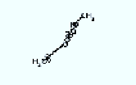 C=CC(=O)OCCCCCCCCCCOc1ccc(C(=O)Oc2ccc(-c3ccc(CCCCC)cn3)cc2)cc1